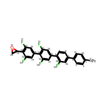 CCCc1ccc(-c2ccc(-c3cc(F)c(-c4cc(F)c(C5CO5)c(F)c4)c(F)c3)c(F)c2)cc1